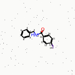 O=C(NCc1ccccc1)c1ccc(I)cc1